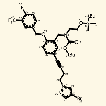 CC(C)(C)OC(=O)N(CCO[Si](C)(C)C(C)(C)C)Cc1cc(C#CCCn2cc(Br)cn2)ccc1OCc1ccc(F)c(C(F)(F)F)c1